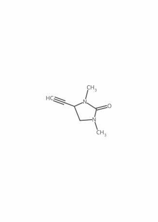 C#CC1CN(C)C(=O)N1C